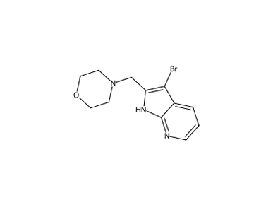 Brc1c(CN2CCOCC2)[nH]c2ncccc12